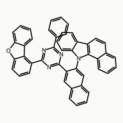 c1ccc(-c2nc(-c3cc4ccccc4cc3-n3c4ccccc4c4ccc5ccccc5c43)nc(-c3cccc4oc5ccccc5c34)n2)cc1